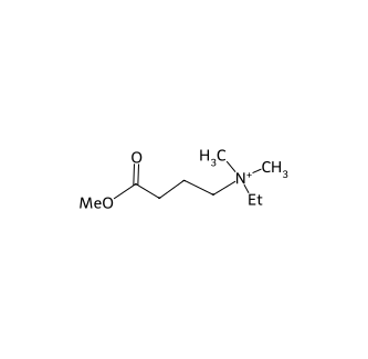 CC[N+](C)(C)CCCC(=O)OC